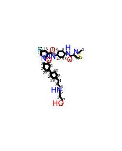 Cc1nc(C(=O)NC2CCC(NC(=O)c3cc(F)cnc3Oc3cccc(-c4ccc(CCCNCCCO)cc4)c3)CC2)cs1